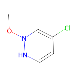 CON1C=C(Cl)C=CN1